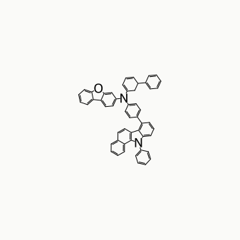 C1=CC(c2ccccc2)CC(N(c2ccc(-c3cccc4c3c3ccc5ccccc5c3n4-c3ccccc3)cc2)c2ccc3c(c2)oc2ccccc23)=C1